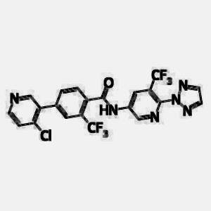 O=C(Nc1cnc(-n2nccn2)c(C(F)(F)F)c1)c1ccc(-c2cnccc2Cl)cc1C(F)(F)F